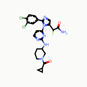 NC(=O)C(F)c1cnc(-c2ccc(Cl)c(Cl)c2)n1-c1ccnc(NC2CCCN(C(=O)C3CC3)C2)n1